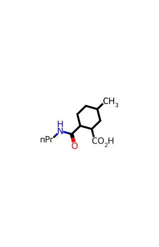 CCCNC(=O)C1CCC(C)CC1C(=O)O